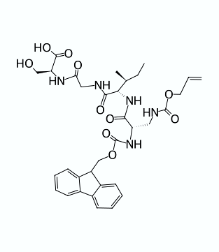 C=CCOC(=O)NC[C@H](NC(=O)OCC1c2ccccc2-c2ccccc21)C(=O)N[C@H](C(=O)NCC(=O)N[C@@H](CO)C(=O)O)[C@@H](C)CC